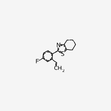 C=Cc1cc(F)ccc1-c1nc2c(s1)CCCC2